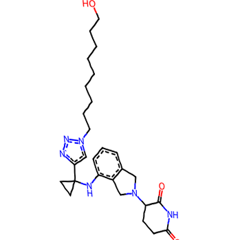 O=C1CCC(N2Cc3cccc(NC4(c5cn(CCCCCCCCCO)nn5)CC4)c3C2)C(=O)N1